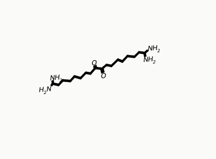 NC(N)CCCCCCCC(=O)C(=O)CCCCCCCC(N)N